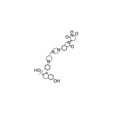 CC(C)(O)[C@H]1CCc2cc(O)ccc2[C@H]1c1ccc(N2CCC(CN3CCN(c4ccc5c(c4)CN([C@H]4CCC(=O)NC4=O)C5=O)CC3)CC2)cc1